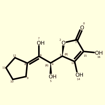 O=C1O[C@H]([C@@H](O)C(O)=C2CCCC2)C(O)=C1O